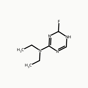 CCN(CC)C1=N[C](F)NC=N1